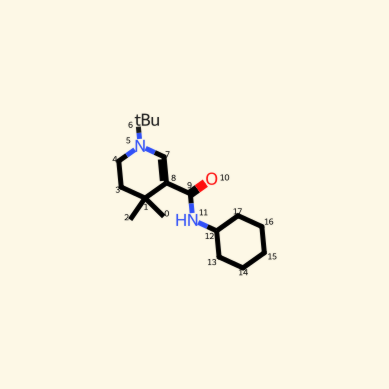 CC1(C)CCN(C(C)(C)C)C=C1C(=O)NC1CCCCC1